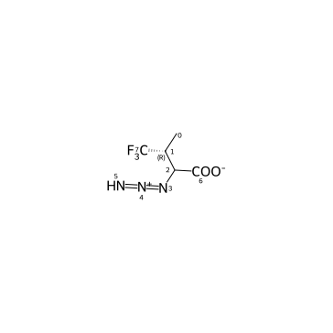 C[C@H](C(N=[N+]=N)C(=O)[O-])C(F)(F)F